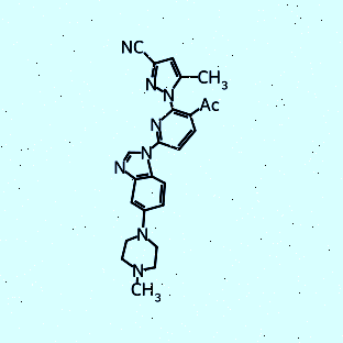 CC(=O)c1ccc(-n2cnc3cc(N4CCN(C)CC4)ccc32)nc1-n1nc(C#N)cc1C